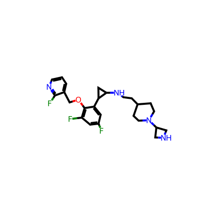 Fc1cc(F)c(OCc2cccnc2F)c(C2CC2NCCC2CCN(C3CNC3)CC2)c1